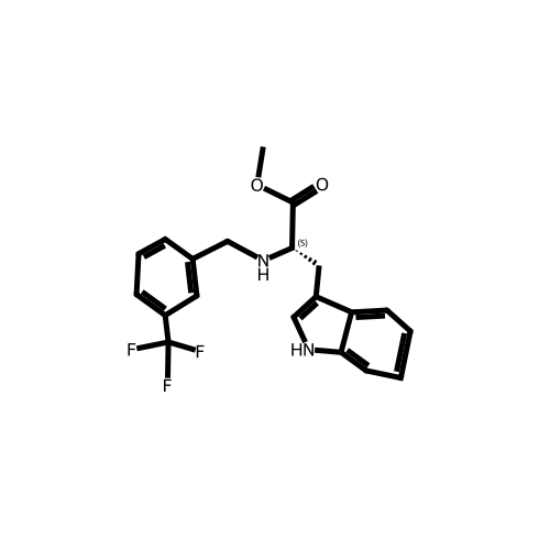 COC(=O)[C@H](Cc1c[nH]c2ccccc12)NCc1cccc(C(F)(F)F)c1